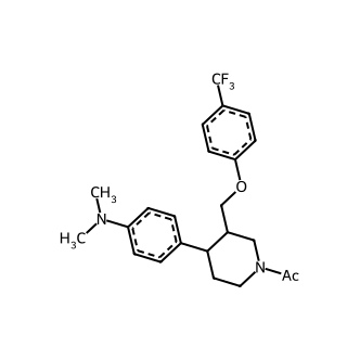 CC(=O)N1CCC(c2ccc(N(C)C)cc2)C(COc2ccc(C(F)(F)F)cc2)C1